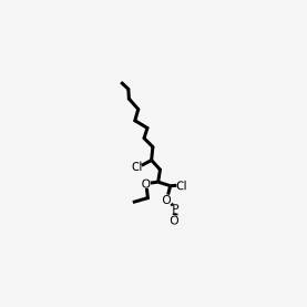 CCCCCCCCC(Cl)CC(OCC)C(Cl)OP=O